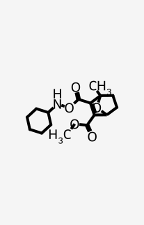 COC(=O)C1=C(C(=O)ONC2CCCCC2)C2(C)CCC1O2